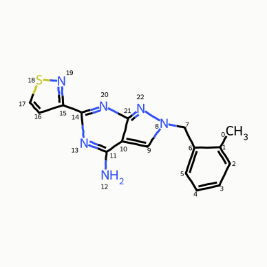 Cc1ccccc1Cn1cc2c(N)nc(-c3ccsn3)nc2n1